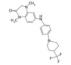 CN1CC(=O)N(C)c2ccc(Nc3ccc(N4CCC(C(F)(F)F)CC4)cc3)cc21